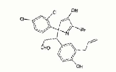 C=CCc1cc(C(CC=O)C2(c3ccc(Cl)cc3Cl)C=C(O)C(C(C)C)=N2)ccc1O